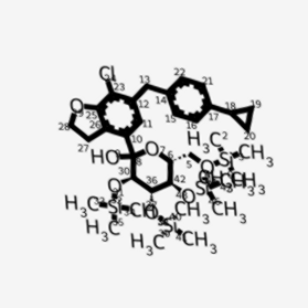 C[Si](C)(C)OC[C@H]1OC(O)(c2cc(Cc3ccc(C4CC4)cc3)c(Cl)c3c2CCO3)[C@H](O[Si](C)(C)C)[C@@H](O[Si](C)(C)C)[C@@H]1O[Si](C)(C)C